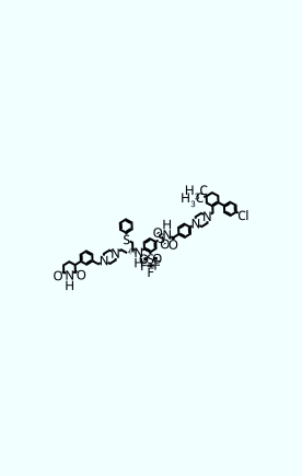 CC1(C)CCC(c2ccc(Cl)cc2)=C(CN2CCN(c3ccc(C(=O)NS(=O)(=O)c4ccc(N[C@H](CCN5CCN(Cc6cccc(C7CCC(=O)NC7=O)c6)CC5)CSc5ccccc5)c(S(=O)(=O)C(F)(F)F)c4)cc3)CC2)C1